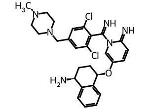 CN1CCN(Cc2cc(Cl)c(C(=N)n3cc(O[C@@H]4CC[C@H](N)c5ccccc54)ccc3=N)c(Cl)c2)CC1